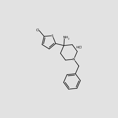 Cl.NC1(c2ccc(Cl)s2)CCN(Cc2ccccc2)CC1